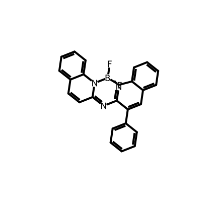 C/N=C(\N=c1\ccc2ccccc2n1B(F)F)C(=C\c1ccccc1C)/c1ccccc1